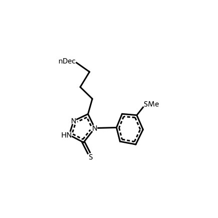 CCCCCCCCCCCCCc1n[nH]c(=S)n1-c1cccc(SC)c1